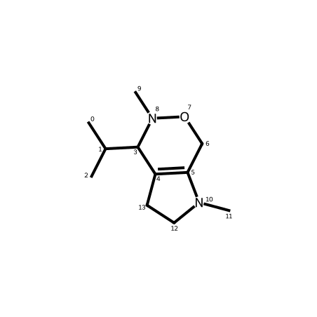 CC(C)C1C2=C(CON1C)N(C)CC2